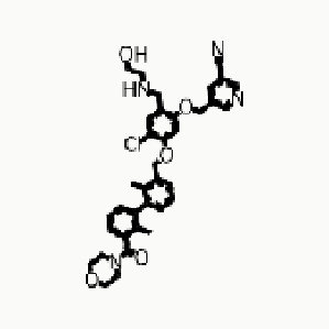 Cc1c(COc2cc(OCc3cncc(C#N)c3)c(CNCCO)cc2Cl)cccc1-c1cccc(C(=O)N2CCOCC2)c1C